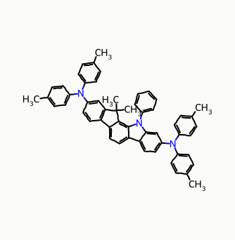 Cc1ccc(N(c2ccc(C)cc2)c2ccc3c(c2)C(C)(C)c2c-3ccc3c4ccc(N(c5ccc(C)cc5)c5ccc(C)cc5)cc4n(-c4ccccc4)c23)cc1